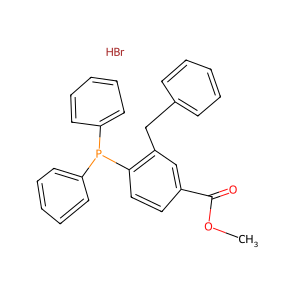 Br.COC(=O)c1ccc(P(c2ccccc2)c2ccccc2)c(Cc2ccccc2)c1